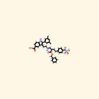 Cc1cc(C)cc(-c2[nH]c3ccc(C(=O)O)cc3c2CCNCC(CCc2ccc(NS(C)(=O)=O)cc2)C(=O)OCc2ccccc2)c1